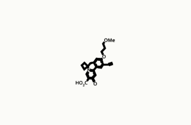 C#Cc1cc2c(cc1OCCCOC)CC1(CCC1)n1cc(C(=O)O)c(=O)cc1-2